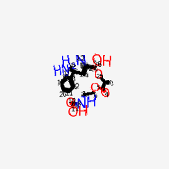 C=C(C)C(=O)OCCNC(=O)O.N[C@@H](Cc1c[nH]c2ccccc12)C(=O)O